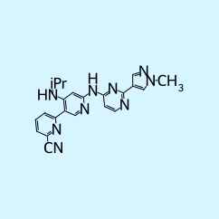 CC(C)Nc1cc(Nc2ccnc(-c3cnn(C)c3)n2)ncc1-c1cccc(C#N)n1